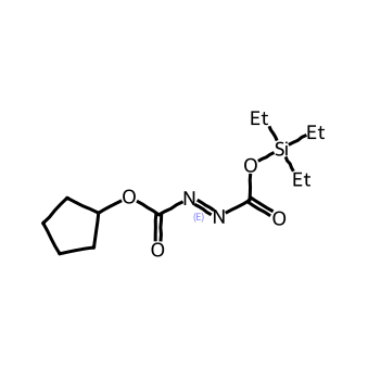 CC[Si](CC)(CC)OC(=O)/N=N/C(=O)OC1CCCC1